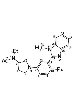 CCN(C(C)=O)C1CCN(c2ccc(F)c(-c3nc4ccccc4n3C)c2)C1